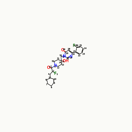 O=C(C(F)CC1CCCCC1)N1CCC(O)(Cn2cnc(-c3ccccc3F)cc2=O)CC1